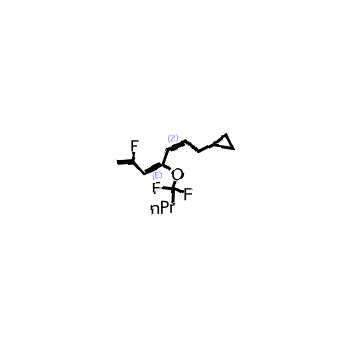 C=C(F)/C=C(\C=C/CC1CC1)OC(F)(F)CCC